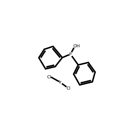 OP(c1ccccc1)c1ccccc1.[Cl][Ir][Cl]